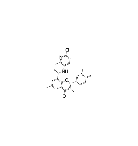 C=C1C=CC(c2oc3c([C@@H](C)Nc4ccc(Cl)nc4C)cc(C)cc3c(=O)c2C)=CN1C